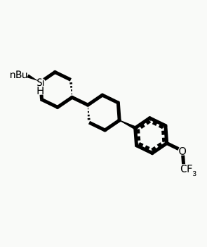 CCCC[Si@H]1CC[C@H]([C@H]2CC[C@H](c3ccc(OC(F)(F)F)cc3)CC2)CC1